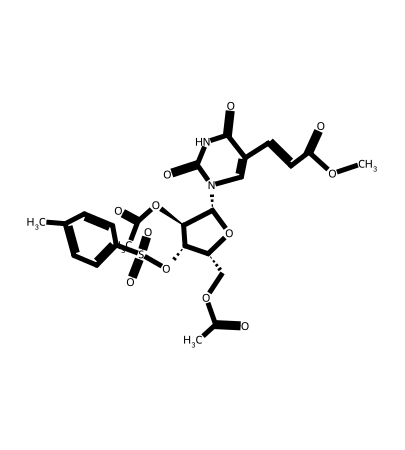 COC(=O)C=Cc1cn([C@@H]2O[C@H](COC(C)=O)[C@H](OS(=O)(=O)c3ccc(C)cc3)[C@H]2OC(C)=O)c(=O)[nH]c1=O